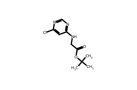 CC(C)(C)OC(=O)CNc1cc(Cl)ncn1